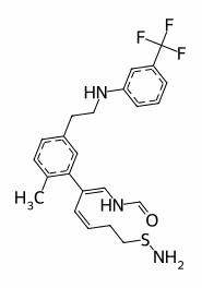 Cc1ccc(CCNc2cccc(C(F)(F)F)c2)cc1C(/C=C\CCSN)=C/NC=O